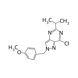 COc1ccc(Cn2cc3nc(C(C)C)nc(Cl)c3n2)cc1